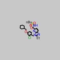 CCCCS(=O)(=O)NC(=O)c1ccc2nc(CC)n(Cc3ccc(OCC4CCCCC4)cc3Cl)c2n1